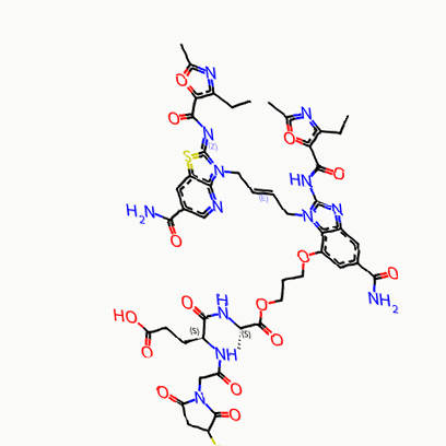 CCc1nc(C)oc1C(=O)/N=c1\sc2cc(C(N)=O)cnc2n1C/C=C/Cn1c(NC(=O)c2oc(C)nc2CC)nc2cc(C(N)=O)cc(OCCCOC(=O)[C@H](C)NC(=O)[C@H](CCC(=O)O)NC(=O)CN3C(=O)CC(S)C3=O)c21